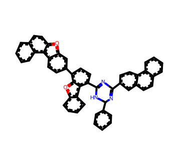 c1ccc(C2N=C(c3ccc4c(ccc5ccccc54)c3)N=C(c3ccc(-c4ccc5c(c4)oc4ccc6ccccc6c45)c4oc5ccccc5c34)N2)cc1